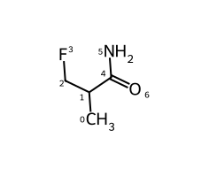 CC(CF)C(N)=O